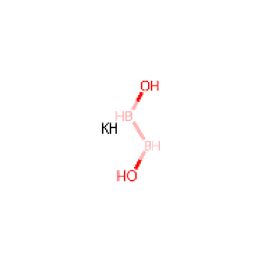 OBBO.[KH]